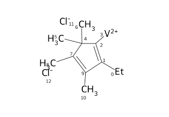 CCC1=[C]([V+2])C(C)(C)C(C)=C1C.[Cl-].[Cl-]